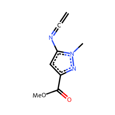 C=C=Nc1cc(C(=O)OC)nn1C